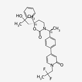 C[C@@H](c1ccc(-c2ccn(CC(C)(F)F)c(=O)c2)cc1)N1CC[C@](CC(C)(C)O)(c2ccccc2)OC1=O